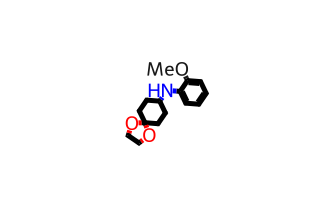 COc1ccccc1NC1CCC2(CC1)OCCO2